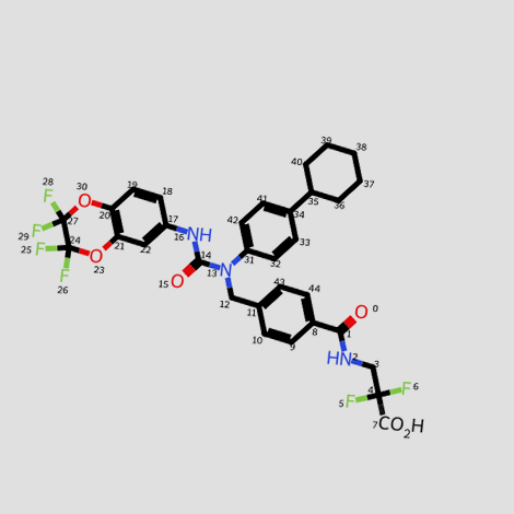 O=C(NCC(F)(F)C(=O)O)c1ccc(CN(C(=O)Nc2ccc3c(c2)OC(F)(F)C(F)(F)O3)c2ccc(C3CCCCC3)cc2)cc1